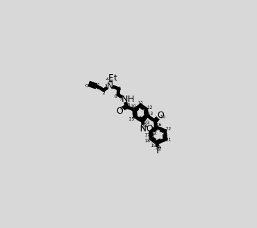 C#CCN(CC)CCNC(=O)c1ccc(C(=O)c2ccc(F)cc2)c([N+](=O)[O-])c1